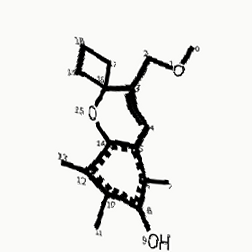 COCC1=Cc2c(C)c(O)c(C)c(C)c2OC12CCC2